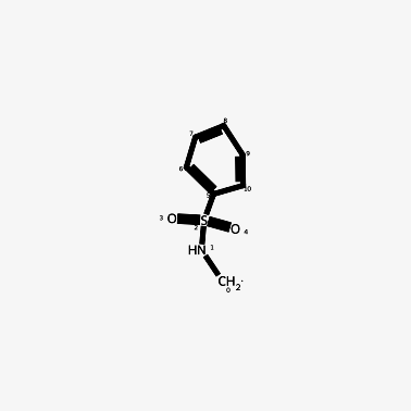 [CH2]NS(=O)(=O)c1ccccc1